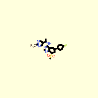 CC(Nc1ncnc2c(S(C)(=O)=O)cc(-c3ccc(F)cc3)cc12)c1cnc(C(F)(F)F)nc1